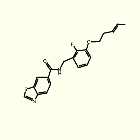 CC=CCCOc1cccc(CNC(=O)c2ccc3ncsc3c2)c1F